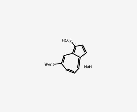 CCCC(C)c1cccc2ccc(S(=O)(=O)O)c-2c1.[NaH]